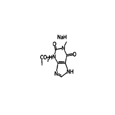 CC(=O)O.Cn1c(=O)c2[nH]cnc2n(C)c1=O.[NaH]